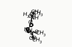 COCCN(CCC(=O)OC)c1ccn2ncc(-c3cccc(OCCNC(=O)OC(C)(C)C)c3)c2n1